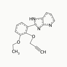 C#CCOc1c(OCC)cccc1-c1nc2ncccc2[nH]1